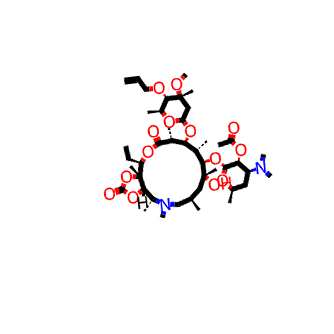 C=CCO[C@H]1[C@H](C)OC(O[C@H]2[C@H](C)[C@@H](O[C@@H]3O[C@H](C)C[C@H](N(C)C)[C@H]3OC(C)=O)[C@](C)(O)C[C@@H](C)CN(C)[C@H](C)[C@@H]3OC(=O)O[C@]3(C)[C@@H](CC)OC(=O)[C@@H]2C)C[C@@]1(C)OC